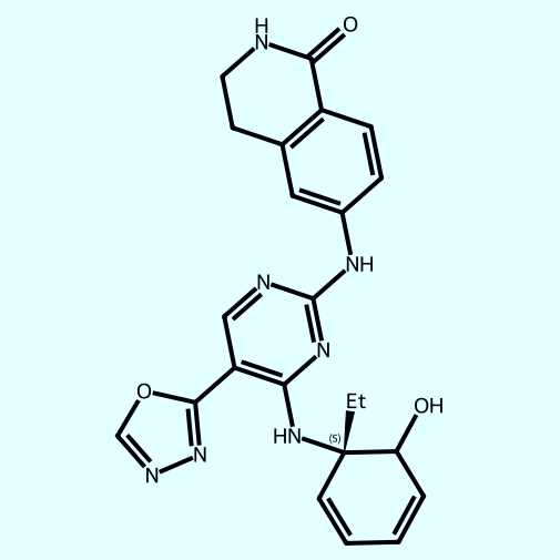 CC[C@]1(Nc2nc(Nc3ccc4c(c3)CCNC4=O)ncc2-c2nnco2)C=CC=CC1O